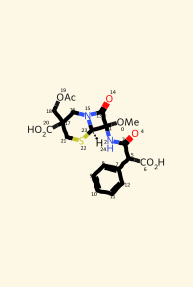 COC1(NC(=O)C(C(=O)O)c2ccccc2)C(=O)N2CC(COC(C)=O)(C(=O)O)CS[C@@H]21